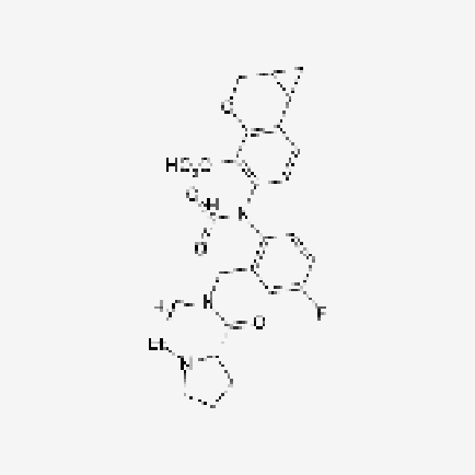 CCN1CCC[C@H]1C(=O)N(C)Cc1cc(F)ccc1N(c1ccc2c(c1C(=O)O)OCC1CC21)[SH](=O)=O